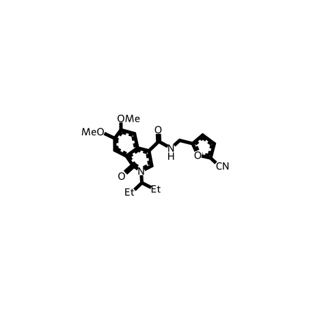 CCC(CC)n1cc(C(=O)NCc2ccc(C#N)o2)c2cc(OC)c(OC)cc2c1=O